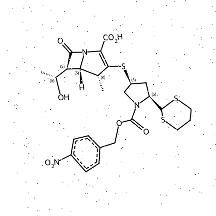 C[C@@H](O)[C@H]1C(=O)N2C(C(=O)O)=C(S[C@H]3C[C@@H](C4SCCCS4)N(C(=O)OCc4ccc([N+](=O)[O-])cc4)C3)[C@H](C)[C@H]12